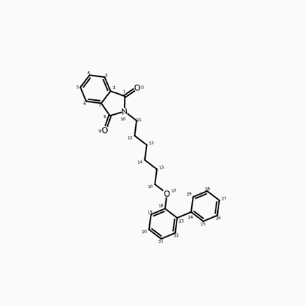 O=C1c2ccccc2C(=O)N1CCCCCCOc1ccccc1-c1ccccc1